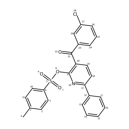 Cc1ccc(S(=O)(=O)Oc2nc(-c3ccccc3)ccc2C(=O)c2cccc(Cl)c2)cc1